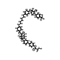 CCC(C)C(=O)Oc1ccc(-c2ccc(OC(C)(CC)C(C)(CC)C(=O)Oc3ccc(CCCCCCCc4ccc(OC(C)(CC)C(=O)Oc5ccc(C(C)(C)C)cc5)cc4)cc3)cc2)cc1